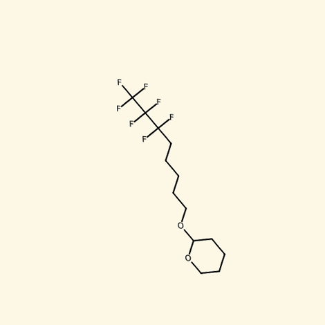 FC(F)(F)C(F)(F)C(F)(F)CCCCCOC1CCCCO1